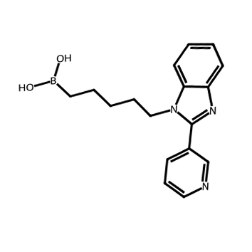 OB(O)CCCCCn1c(-c2cccnc2)nc2ccccc21